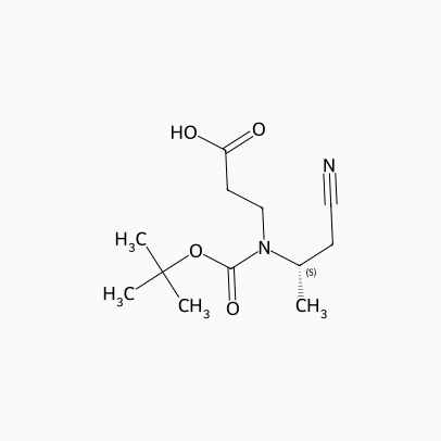 C[C@@H](CC#N)N(CCC(=O)O)C(=O)OC(C)(C)C